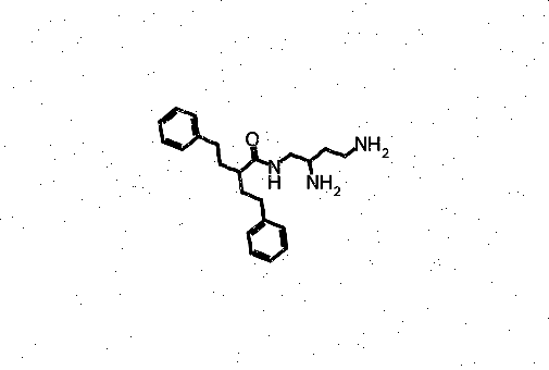 NCCC(N)CNC(=O)C(CCc1ccccc1)CCc1ccccc1